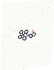 O=C1CCCc2ccc(N3c4ccccc4C(c4ccccc4)(c4ccccc4)c4ccccc43)cc21